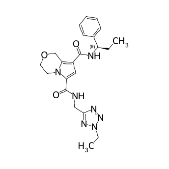 CC[C@@H](NC(=O)c1cc(C(=O)NCc2nnn(CC)n2)n2c1COCC2)c1ccccc1